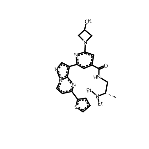 CCN(CC)[C@@H](C)CNC(=O)c1cc(-c2cnn3ccc(-c4cccs4)nc23)nc(N2CC(C#N)C2)c1